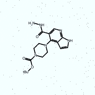 CC(C)(C)OC(=O)N1CCN(c2c(C(=O)NN)cnc3[nH]ccc23)CC1